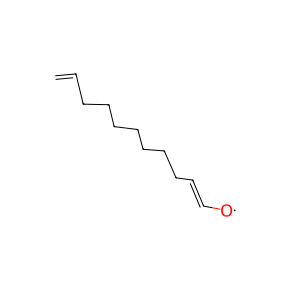 C=CCCCCCCC/C=C/[O]